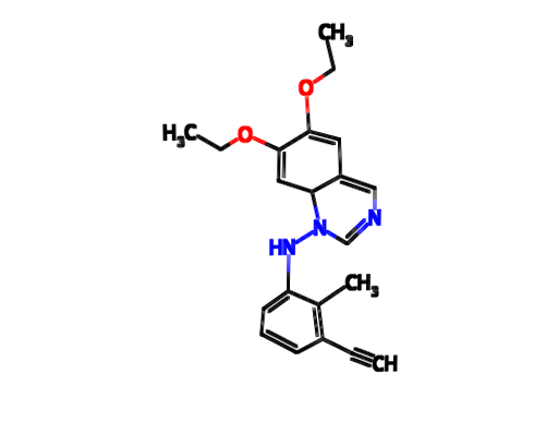 C#Cc1cccc(NN2C=NC=C3C=C(OCC)C(OCC)=CC32)c1C